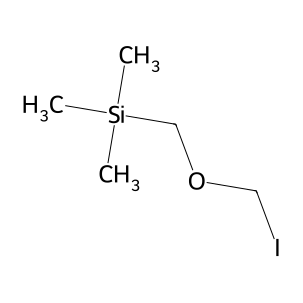 C[Si](C)(C)COCI